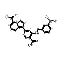 NC(=O)c1cnc(-c2ncn3c(C(N)=O)cccc23)nc1NCc1cccc(B(O)O)c1